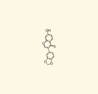 Oc1ccc2c(=S)c(-c3ccc4c(c3)OCO4)coc2c1